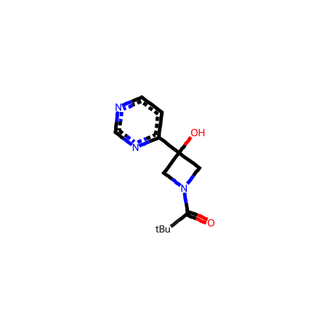 CC(C)(C)C(=O)N1CC(O)(c2ccncn2)C1